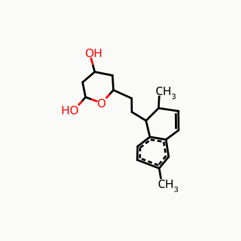 Cc1ccc2c(c1)C=CC(C)C2CCC1CC(O)CC(O)O1